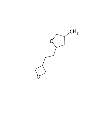 CC1COC(CCC2COC2)C1